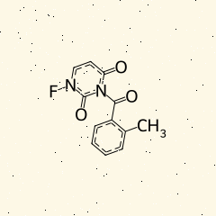 Cc1ccccc1C(=O)n1c(=O)ccn(F)c1=O